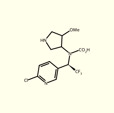 COC1CNCC1N(C(=O)O)[C@H](c1ccc(Cl)nc1)C(F)(F)F